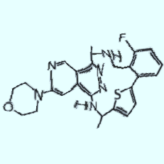 CNCc1c(F)cccc1-c1ccc(C(C)Nc2nnc(C)c3cnc(N4CCOCC4)cc23)s1